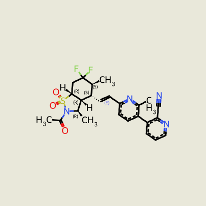 CC(=O)N1[C@H](C)[C@H]2[C@@H](/C=C/c3ccc(-c4cccnc4C#N)c(C)n3)[C@H](C)C(F)(F)C[C@H]2S1(=O)=O